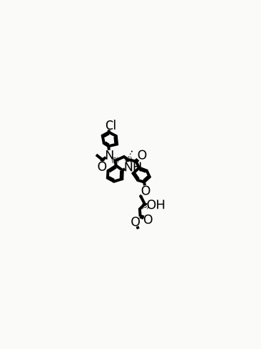 COC(=O)C[C@H](O)COc1ccc(C(=O)[C@]2(C)C[C@@H](N(C(C)=O)c3ccc(Cl)cc3)c3ccccc3N2)cc1